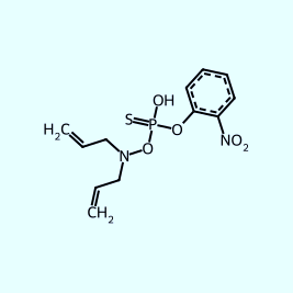 C=CCN(CC=C)OP(O)(=S)Oc1ccccc1[N+](=O)[O-]